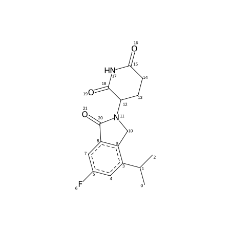 CC(C)c1cc(F)cc2c1CN(C1CCC(=O)NC1=O)C2=O